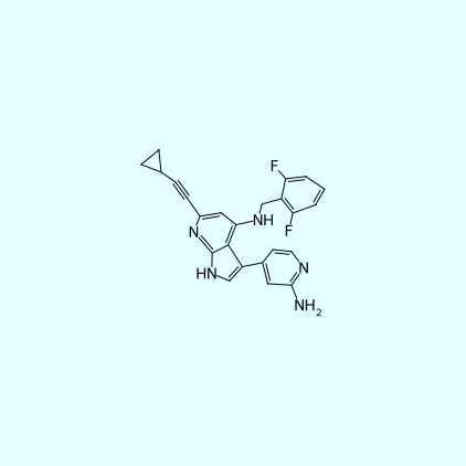 Nc1cc(-c2c[nH]c3nc(C#CC4CC4)cc(NCc4c(F)cccc4F)c23)ccn1